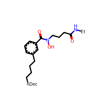 CCCCCCCCCCCCCCc1cccc(C(=O)N(O)CCCC(=O)NCC)c1